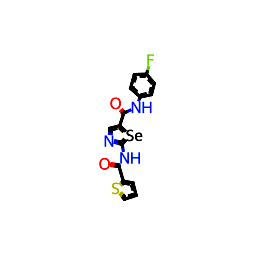 O=C(Nc1ncc(C(=O)Nc2ccc(F)cc2)[se]1)c1cccs1